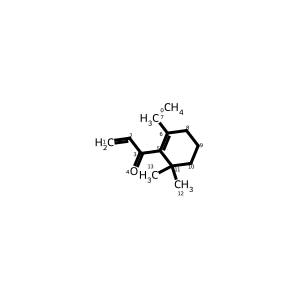 C.C=CC(=O)C1=C(C)CCCC1(C)C